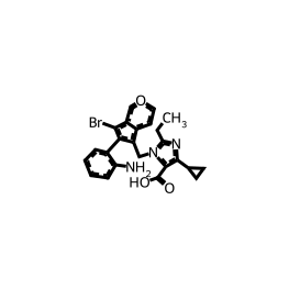 CCc1nc(C2CC2)c(C(=O)O)n1Cc1c2ccocc-2c(Br)c1-c1ccccc1N